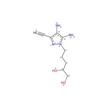 C#Cc1nn(CCCC(O)CO)c(N)c1N